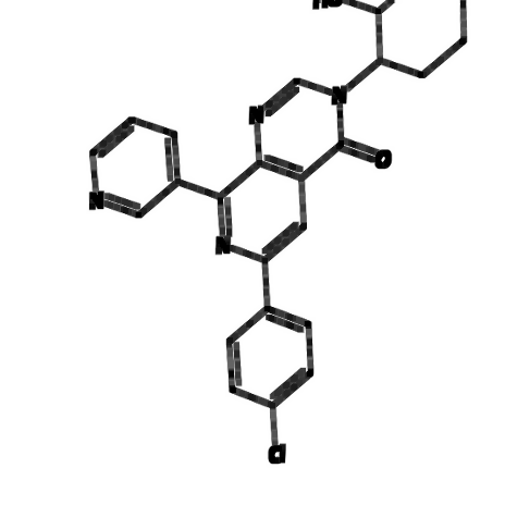 O=c1c2cc(-c3ccc(Cl)cc3)nc(-c3cccnc3)c2ncn1C1CCCCC1O